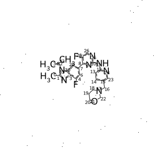 Cc1nc2c(F)cc(-c3nc(Nc4ccc(CN5CCCOC5)cn4)ncc3F)cc2n1C(C)C